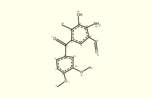 COc1ccc(C(=O)c2cc(C=O)c(N)c(O)c2C)cc1OC